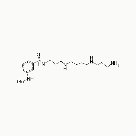 CC(C)(C)Nc1cccc(C(=O)NCCCNCCCCNCCCN)c1